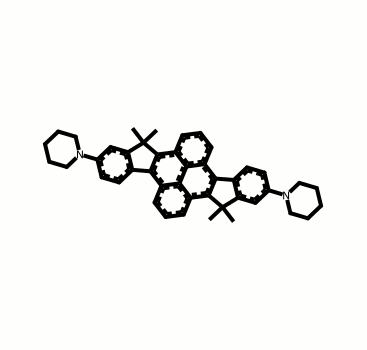 CC1(C)c2cc(N3CCCCC3)ccc2-c2c1c1cccc3c4c(c5cccc2c5c31)C(C)(C)c1cc(N2CCCCC2)ccc1-4